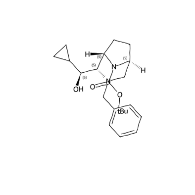 CC(C)(C)OC(=O)N1[C@H]2CC[C@H]1[C@@H]([C@@H](O)C1CC1)N(Cc1ccccc1)C2